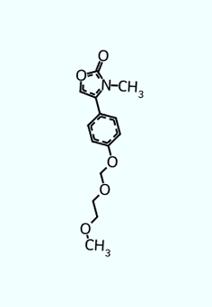 COCCOCOc1ccc(-c2coc(=O)n2C)cc1